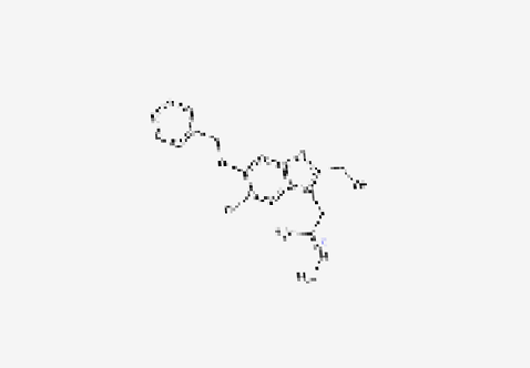 C/N=C(\N)Cn1c(CO)nc2cc(OCc3ccccc3)c(Cl)cc21